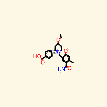 CCO[C@H]1CCN(Cc2cc(C(N)=O)c(C)cc2OC)[C@H](c2ccc(C(=O)O)cc2)C1